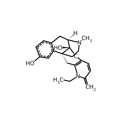 C=C1C=CC2=C(C[C@]34CCN(C)[C@H](Cc5ccc(O)cc53)[C@]4(O)C2)N1CC